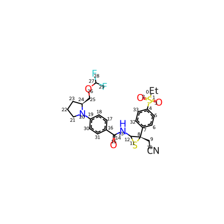 CCS(=O)(=O)c1ccc([C@]2(CC#N)SC2NC(=O)c2ccc(N3CCC[C@H]3COC(F)F)cc2)cc1